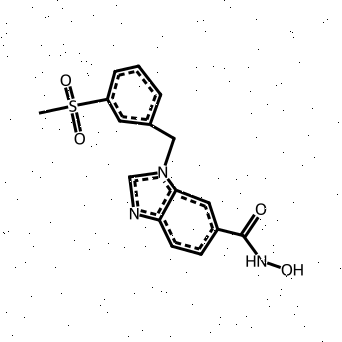 CS(=O)(=O)c1cccc(Cn2cnc3ccc(C(=O)NO)cc32)c1